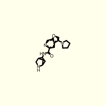 O=C(NC1CC2CC1CN2)c1cc2c(N3CCCC3)coc2cn1